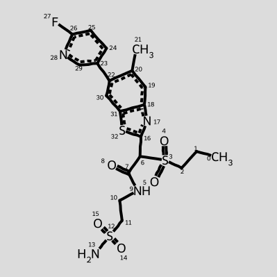 CCCS(=O)(=O)C(C(=O)NCCS(N)(=O)=O)c1nc2cc(C)c(-c3ccc(F)nc3)cc2s1